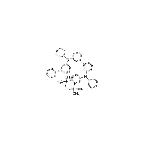 CC1(C)CCC(C)(C)c2cc(N(c3ccccc3)c3cccc(-c4cccc(N(c5ccccc5)c5cccc(-c6ccccc6)c5)c4)c3)ccc21